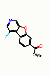 COC(=O)c1ccc2c(c1)oc1cncc(F)c12